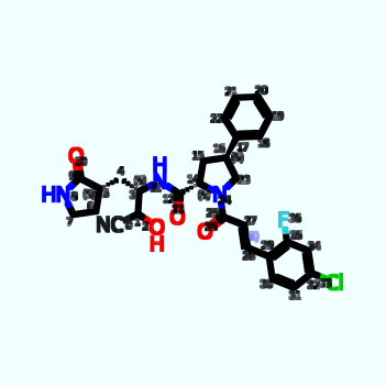 N#CC(O)[C@H](C[C@@H]1CCNC1=O)NC(=O)[C@@H]1C[C@@H](c2ccccc2)CN1C(=O)/C=C/c1ccc(Cl)cc1F